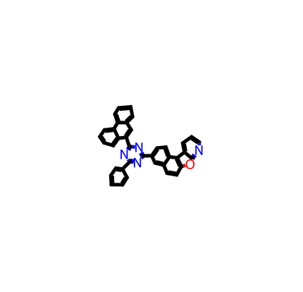 c1ccc(-c2nc(-c3ccc4c(ccc5oc6ncccc6c54)c3)nc(-c3cc4ccccc4c4ccccc34)n2)cc1